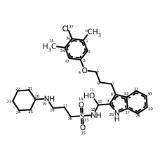 Cc1cc(OCCCc2c(C(O)NS(=O)(=O)CCCNC3CCCCC3)[nH]c3ccccc23)cc(C)c1Cl